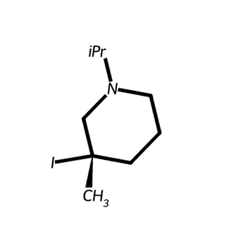 CC(C)N1CCC[C@](C)(I)C1